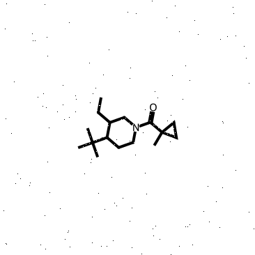 CCC1CN(C(=O)C2(C)CC2)CCC1C(C)(C)C